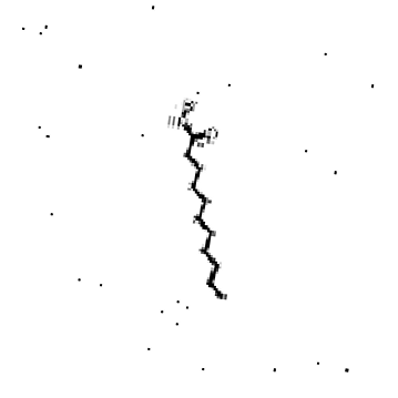 CCCCCCCCCCC(=O)NBr